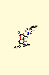 COc1cc2oc(=O)cc(CN3CCC(OC)CC3)c2cc1OC